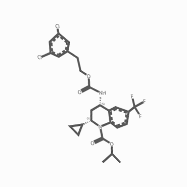 CC(C)OC(=O)N1c2ccc(C(F)(F)F)cc2[C@@H](NC(=O)OCCc2cc(Cl)cc(Cl)c2)C[C@H]1C1CC1